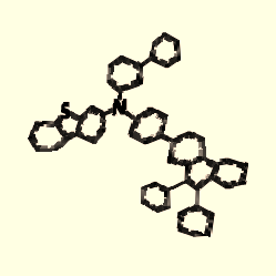 c1ccc(-c2cccc(N(c3ccc(-c4ccc5c(c4)c(-c4ccccc4)c(-c4ccccc4)c4ccccc45)cc3)c3ccc4c(c3)sc3ccccc34)c2)cc1